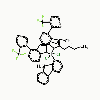 CCCCC1=Cc2c(-c3ccccc3C(F)(F)F)cccc2[CH]1[Hf]([Cl])([Cl])([c]1cccc2c1[SiH2]c1ccccc1-2)[CH]1C(CCCC)=Cc2c(-c3ccccc3C(F)(F)F)cccc21